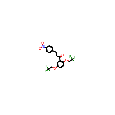 O=C(C=Cc1ccc([N+](=O)[O-])cc1)c1cc(OCC(F)(F)F)ccc1OCC(F)(F)F